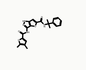 Cc1cc(C(=O)Nc2n[nH]c3cc(C(=O)NC(C)(C)c4ccccc4)oc23)oc1C